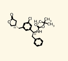 CC(C)(C)OC(=O)N[C@@H](Cc1ccccc1)c1cc(Cl)cc(C[C@@H]2COC(=O)C2)c1